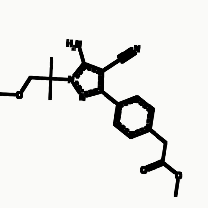 COCC(C)(C)n1nc(-c2ccc(CC(=O)OC)cc2)c(C#N)c1N